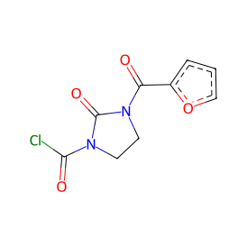 O=C(Cl)N1CCN(C(=O)c2ccco2)C1=O